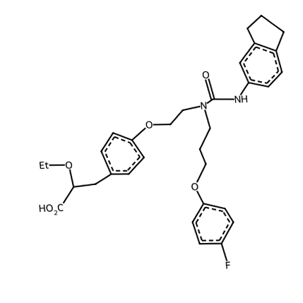 CCOC(Cc1ccc(OCCN(CCCOc2ccc(F)cc2)C(=O)Nc2ccc3c(c2)CCC3)cc1)C(=O)O